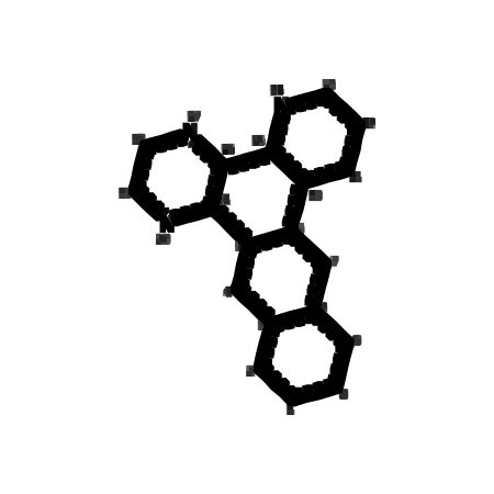 c1ccc2cc3c(cc2c1)c1cccnc1c1nccnc31